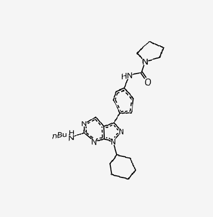 CCCCNc1ncc2c(-c3ccc(NC(=O)N4CCCC4)cc3)nn(C3CCCCC3)c2n1